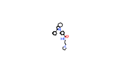 O=C(NCCCN1CCCC1)c1ccc(-n2c(-c3ccccc3)cc3c2CCCC3)cc1